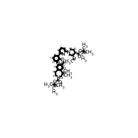 CO[C@H]1CN(c2cccc(-c3cccc(C)c3OCc3ccc4c(c3)C(C)(C)CN(C(=O)OC(C)(C)C)CC4)n2)CC[C@H]1C(=O)OC(C)(C)C